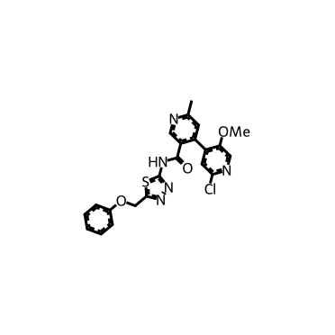 COc1cnc(Cl)cc1-c1cc(C)ncc1C(=O)Nc1nnc(COc2ccccc2)s1